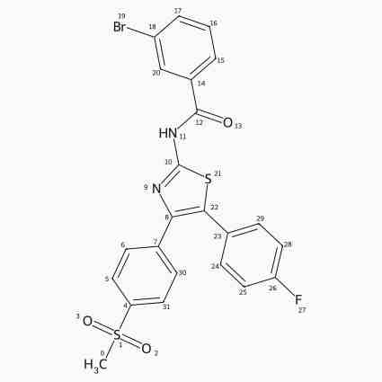 CS(=O)(=O)c1ccc(-c2nc(NC(=O)c3cccc(Br)c3)sc2-c2ccc(F)cc2)cc1